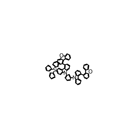 c1ccc([Si](c2ccccc2)(c2ccccc2)c2ccc3c(c2)c2c(-c4cccc5oc6ccccc6c45)cccc2n3-c2cccc(-n3c4ccccc4c4c(-c5cccc6oc7ccccc7c56)cccc43)c2)cc1